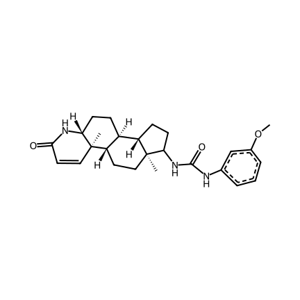 COc1cccc(NC(=O)NC2CC[C@H]3[C@@H]4CC[C@H]5NC(=O)C=C[C@]5(C)[C@H]4CC[C@]23C)c1